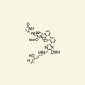 C=C(O)CCCNCc1ncc(-c2cccc(-c3cccc(-c4cnc(CNC[C@@H]5CCC(=O)N5)c(OC)n4)c3Cl)c2Cl)nc1OC